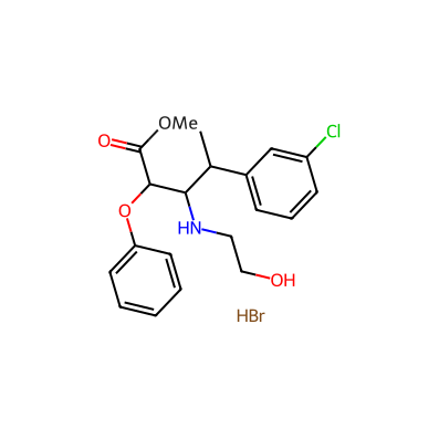 Br.COC(=O)C(Oc1ccccc1)C(NCCO)C(C)c1cccc(Cl)c1